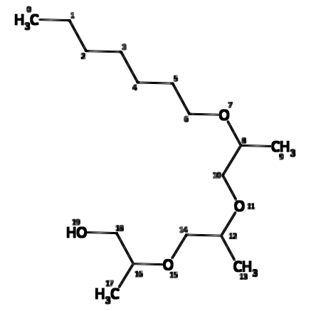 CCCCCCCOC(C)COC(C)COC(C)CO